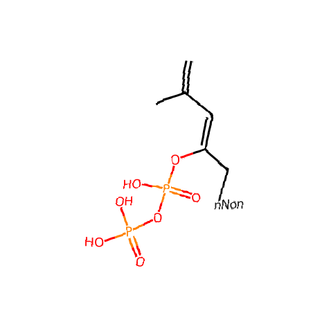 C=C(C)C=C(CCCCCCCCCC)OP(=O)(O)OP(=O)(O)O